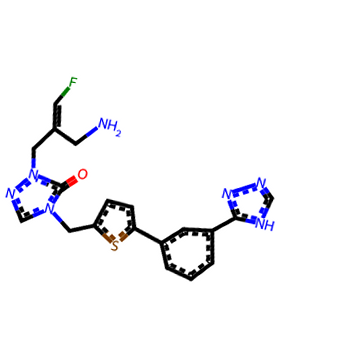 NC/C(=C\F)Cn1ncn(Cc2ccc(-c3cccc(-c4nnc[nH]4)c3)s2)c1=O